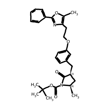 Cc1oc(-c2ccccc2)nc1CCOc1cccc(C[C@H]2C[C@@H](C)N(C(=O)OC(C)(C)C)C2=O)c1